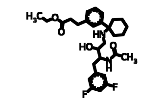 CCOC(=O)CCc1cccc(C2(NCC(O)C(Cc3cc(F)cc(F)c3)NC(C)=O)CCCCC2)c1